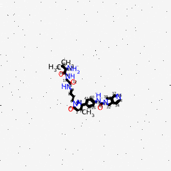 CC1CC(=O)N(CCCCNC(=O)CNC(=O)C(N)C(C)C)N=C1c1ccc(NC(=O)N2Cc3ccncc3C2)cc1